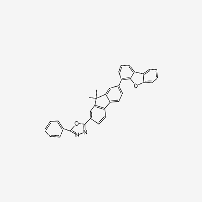 CC1(C)c2cc(-c3nnc(-c4ccccc4)o3)ccc2-c2ccc(-c3cccc4c3oc3ccccc34)cc21